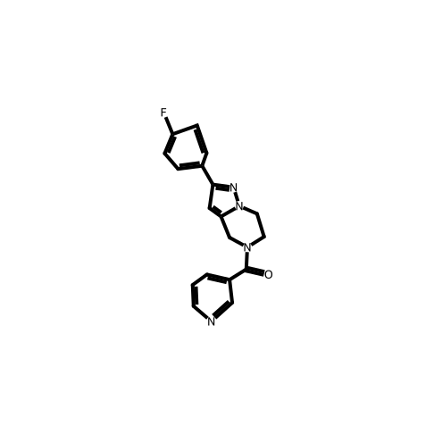 O=C(c1cccnc1)N1CCn2nc(-c3ccc(F)cc3)cc2C1